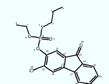 CCCSP(=O)(OCC)Oc1cc2c(cc1Cl)-c1ccccc1C2=O